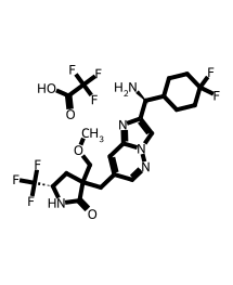 COCC1(Cc2cnn3cc([C@@H](N)C4CCC(F)(F)CC4)nc3c2)C[C@@H](C(F)(F)F)NC1=O.O=C(O)C(F)(F)F